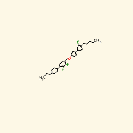 CCCCCc1ccc(-c2ccc(OCc3ccc(C4CCC(CCC)CC4)c(F)c3F)cc2)cc1F